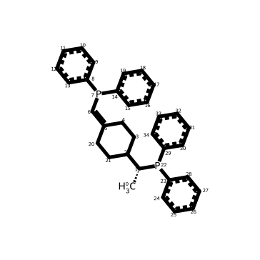 C[C@H](C1CCC(=CP(c2ccccc2)c2ccccc2)CC1)P(c1ccccc1)c1ccccc1